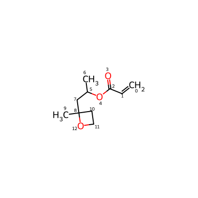 C=CC(=O)OC(C)CC1(C)CCO1